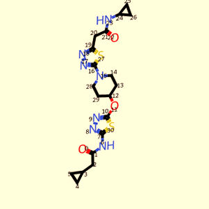 O=C(CC1CC1)Nc1nnc(OC2CCN(c3nnc(CC(=O)NC4CC4)s3)CC2)s1